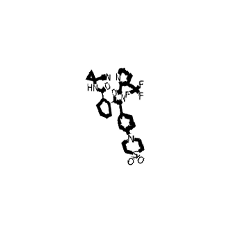 N#CC1(NC(=O)[C@@H]2CCCC[C@H]2c2oc(-c3ncccc3C(F)(F)F)nc2-c2ccc(N3CCS(=O)(=O)CC3)cc2)CC1